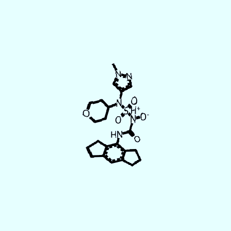 Cn1cc(N(C2CCOCC2)S(=O)(=O)[NH+]([O-])C(=O)Nc2c3c(cc4c2CCC4)CCC3)cn1